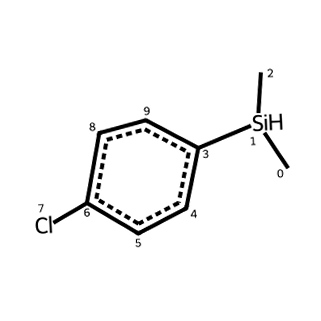 C[SiH](C)c1ccc(Cl)cc1